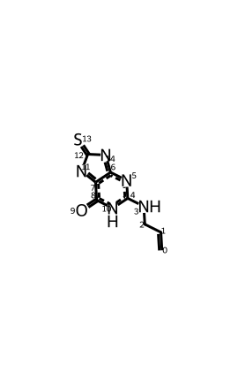 C=CCNc1nc2c(c(=O)[nH]1)=NC(=S)N=2